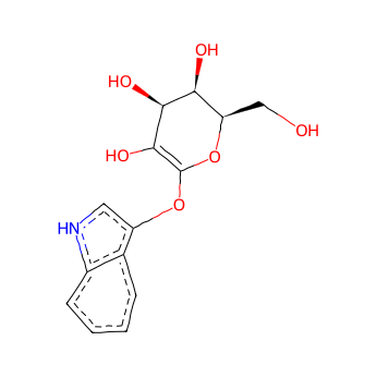 OC[C@H]1OC(Oc2c[nH]c3ccccc23)=C(O)[C@@H](O)[C@H]1O